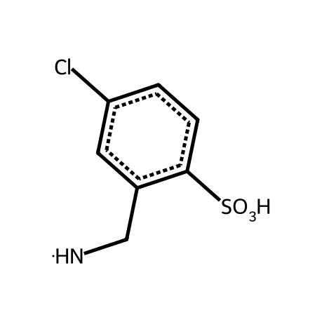 [NH]Cc1cc(Cl)ccc1S(=O)(=O)O